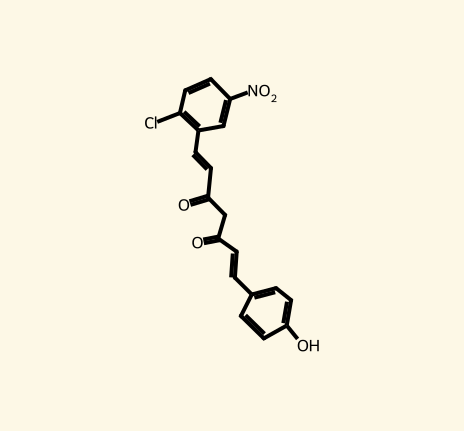 O=C(/C=C/c1ccc(O)cc1)CC(=O)/C=C/c1cc([N+](=O)[O-])ccc1Cl